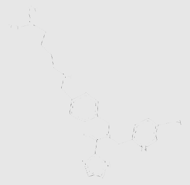 CCCN(CCC)CCCCNCc1ccc(CN(Cc2ccc(C)cn2)C(=O)c2ncc[nH]2)cc1